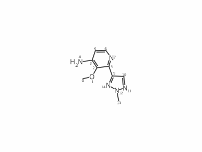 COc1c(N)ccnc1-c1cnn(C)n1